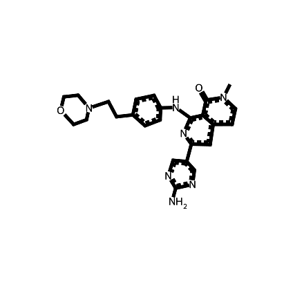 Cn1ccc2cc(-c3cnc(N)nc3)nc(Nc3ccc(CCN4CCOCC4)cc3)c2c1=O